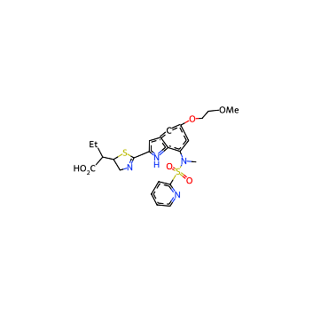 CCC(C(=O)O)C1CN=C(c2cc3cc(OCCOC)cc(N(C)S(=O)(=O)c4ccccn4)c3[nH]2)S1